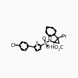 CC(C)[C@@]1(c2ccccc2)C[C@]1(NS(=O)(=O)c1ccc(-c2ccc(Cl)cc2)s1)C(=O)O